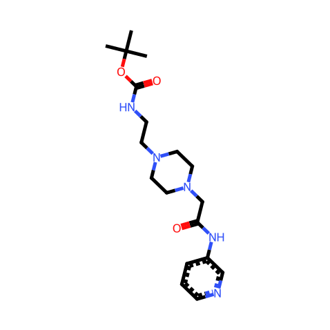 CC(C)(C)OC(=O)NCCN1CCN(CC(=O)Nc2cccnc2)CC1